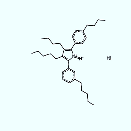 CCCCCC1=C(c2cccc(CCCCC)c2)[N+](=[N-])C(c2ccc(CCCC)cc2)=C1CCCC.[Ni]